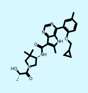 Cc1ccc(OCC2CC2)c(-c2ncnc3c(C(=O)N[C@@H]4CN(C(=O)[C@H](C)O)CC4(C)C)c(C)[nH]c23)c1